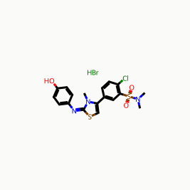 Br.CN(C)S(=O)(=O)c1cc(-c2csc(=Nc3ccc(O)cc3)n2C)ccc1Cl